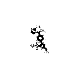 Cc1nccn1C(C)c1ccc(-c2cc(CC(C)C)sc2S(N)(=O)=O)cc1